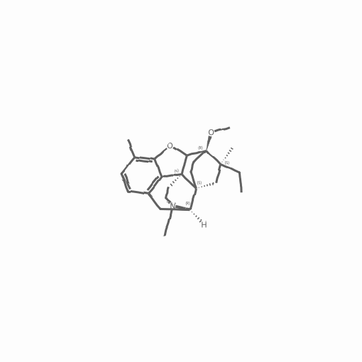 CC[C@@]1(C)C[C@@]23CC[C@]1(OC)C1Oc4c(C)ccc5c4[C@@]12CCN(C)[C@@H]3C5